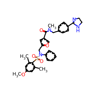 COc1cc(C)c(S(=O)(=O)N(Cc2cc(C(=O)N(C)Cc3ccc(C4=NCCN4)cc3)co2)c2ccccc2)c(C)c1